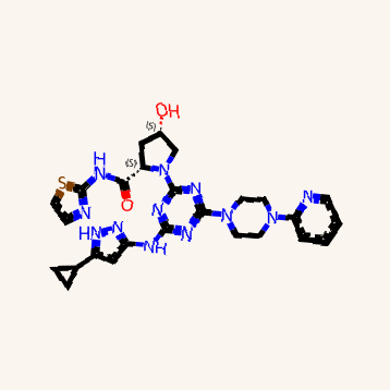 O=C(Nc1nccs1)[C@@H]1C[C@H](O)CN1c1nc(Nc2cc(C3CC3)[nH]n2)nc(N2CCN(c3ccccn3)CC2)n1